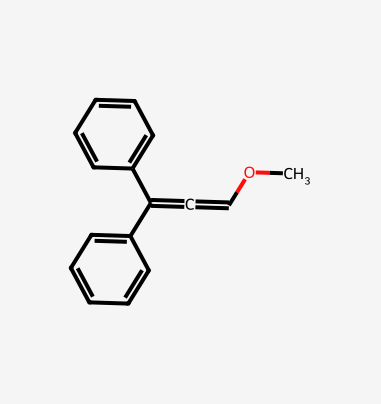 COC=C=C(c1ccccc1)c1ccccc1